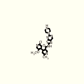 COc1cnc(Cl)cc1-c1cc(C)ncc1C(=O)Nc1nc2cnc(N3CCNCC3)nc2s1